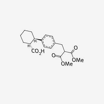 COC(=O)C(Cc1ccc([C@@H]2CCCC[C@H]2C(=O)O)cc1)C(=O)OC